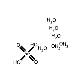 O.O.O.O.O.O.O=[Se](=O)(O)O